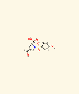 COc1ccc(S(=O)(=O)N2CC(C(C)=O)C[C@H]2C(=O)O)cc1